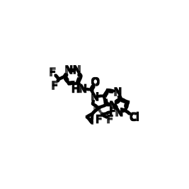 O=C(Nc1cnnc(C(F)F)c1)N1C[C@@](C2CC2)(C(F)(F)F)c2c1cnc1cc(Cl)nn21